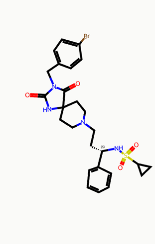 O=C1NC2(CCN(CC[C@H](NS(=O)(=O)C3CC3)c3ccccc3)CC2)C(=O)N1Cc1ccc(Br)cc1